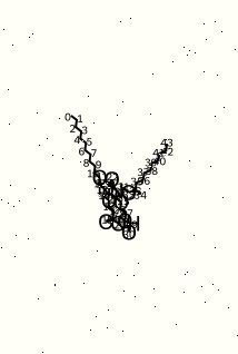 CCCCCCCCCCCOCN(COC=CC(=O)O)C(=O)N(COC=COC=O)COC(C)CCCCCCCCC